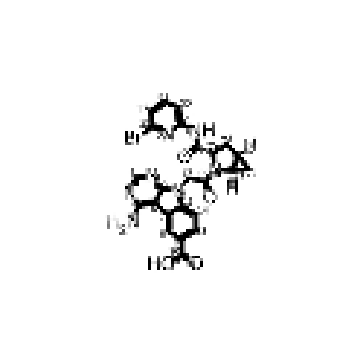 Nc1ncnc2c1c1cc(C(=O)O)ccc1n2CC(=O)N1[C@@H]2C[C@@H]2C[C@H]1C(=O)Nc1cccc(Br)n1